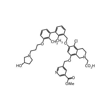 COC(=O)c1cncc(COc2cc(OCc3cccc(-c4cccc(OCCCN5CC[C@@H](O)C5)c4C)c3C)c(Cl)c3c2CN(CC(=O)O)CC3)c1